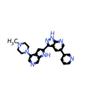 CN1CCN(c2cncc3[nH]c(-c4n[nH]c5ncc(-c6cccnc6)cc45)cc23)CC1